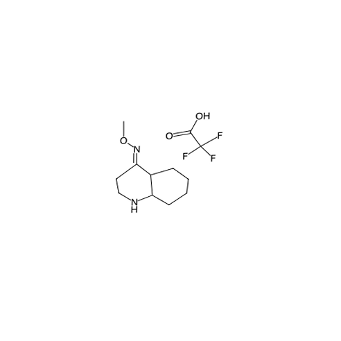 CON=C1CCNC2CCCCC12.O=C(O)C(F)(F)F